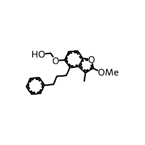 COc1oc2ccc(OCO)c(CCCc3ccccc3)c2c1C